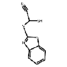 N#CC(S)Sc1nc2ccccc2s1